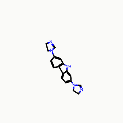 C1=NCCN1c1ccc2c(c1)[nH]c1cc(N3C=NCC3)ccc12